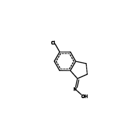 O/N=C1\CCc2cc(Cl)ccc21